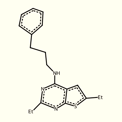 CCc1nc(NCCCc2ccccc2)c2cc(CC)sc2n1